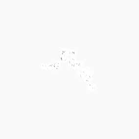 C#Cc1cc(F)c(C(=O)NCCNc2ccc(-c3cc(-c4cnn(C)c4)cn4ncc(C#N)c34)cn2)c(F)c1